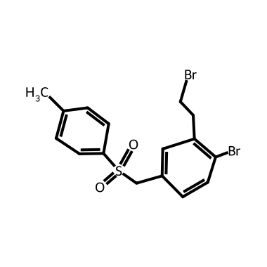 Cc1ccc(S(=O)(=O)Cc2ccc(Br)c(CCBr)c2)cc1